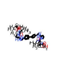 CC(C)[C@@H](C(=O)N1CCC[C@H]1c1nc(-c2ccc(-c3ccc(-c4cnc([C@@H]5CCCN5C(=O)[C@H](CN(C(=O)O)C(C)(C)C)C(C)C)[nH]4)cc3)cc2)c[nH]1)N(C)C(=O)OC(C)(C)C